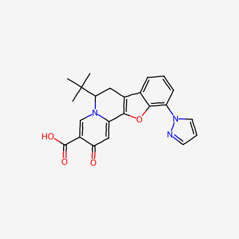 CC(C)(C)C1Cc2c(oc3c(-n4cccn4)cccc23)-c2cc(=O)c(C(=O)O)cn21